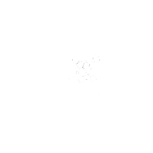 CCCCc1ccc2c(c1)c1ccc3c4cc(CCCC)ccc4n(-c4nc(-c5ccccc5)nc(-c5ccccc5)n4)c3c1n2-c1ccccc1